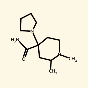 CC1CC(C(N)=O)(N2CCCC2)CCN1C